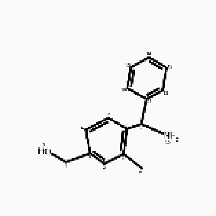 Cc1cc(CO)ccc1C(N)c1ccccc1